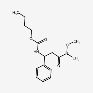 CCCCOC(=O)NC(CC(=O)N(C)OC)c1ccccc1